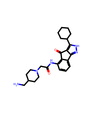 NCC1CCN(CC(=O)Nc2cccc3c2C(=O)c2c-3n[nH]c2C2CCCCC2)CC1